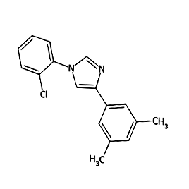 Cc1cc(C)cc(-c2cn(-c3ccccc3Cl)cn2)c1